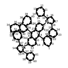 c1ccc(-c2c3cc(-n4c(-c5ccccc5)ccc4-c4ccccc4)ccc3c(-c3cc4ccccc4c4ccccc34)c3cc(-n4c(-c5ccccc5)ccc4-c4ccccc4)ccc23)cc1